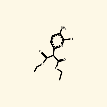 CCOC(=O)C(C(=O)OCC)c1ccc(N)c(Cl)n1